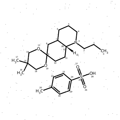 CCCN1CCCC2CC3(CC[C@H]21)OCC(C)(C)CO3.Cc1ccc(S(=O)(=O)O)cc1